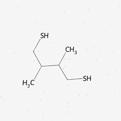 CC(CS)C(C)CS